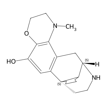 CN1CCOc2c(O)cc3c(c21)C[C@@H]1NCC[C@]32CCCCC12